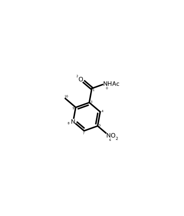 CC(=O)NC(=O)c1cc([N+](=O)[O-])cnc1C